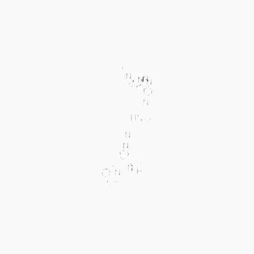 Cc1cccc(F)c1CN1C[C@H](c2ccc(N3CCN(CCCCNC(=O)C4CCN(c5ccc6nnn(C7CCC(=O)NC7=O)c(=O)c6c5)CC4)CC3)cc2)[C@@H](N(C)C)C1